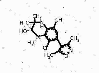 Cc1cc(-c2c(C)noc2C)c(Cl)c2c1NC(C)(C)[C@@H](O)[C@H]2C